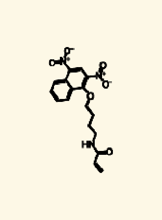 C=CC(=O)NCCCCOc1c([N+](=O)[O-])cc([N+](=O)[O-])c2ccccc12